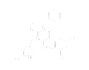 COc1c(-c2cc(Cl)cc(Cl)c2)c(=O)[n+](Cc2ccccc2)c2n1C(c1cnc(Cl)s1)CN2C